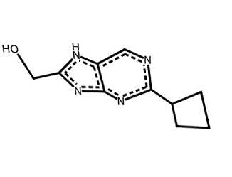 OCc1nc2nc(C3CCC3)ncc2[nH]1